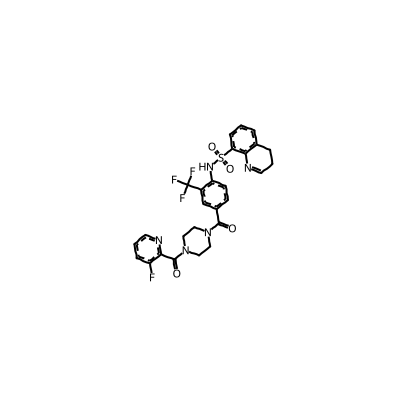 O=C(c1ccc(NS(=O)(=O)c2cccc3c2N=CCC3)c(C(F)(F)F)c1)N1CCN(C(=O)c2ncccc2F)CC1